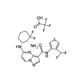 N[C@@H]1[C@H](Nc2ccn3ncc(C(=O)Nc4cscc4C(F)F)c3n2)CCCC1(F)F.O=C(O)C(F)(F)F